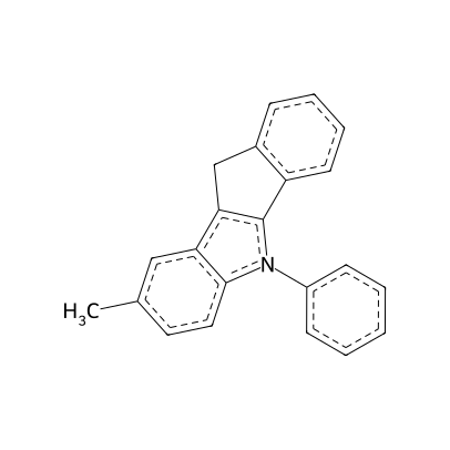 Cc1ccc2c(c1)c1c(n2-c2ccccc2)-c2ccccc2C1